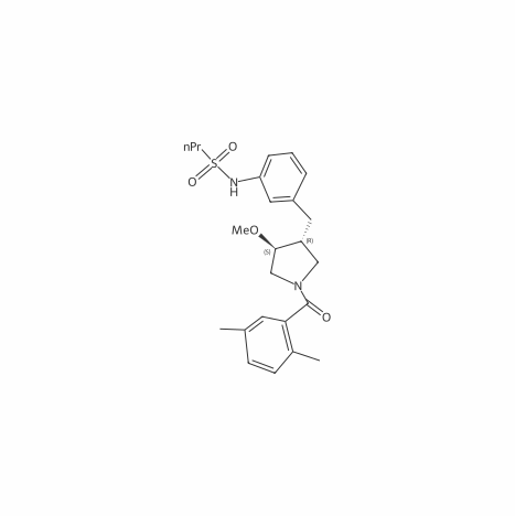 CCCS(=O)(=O)Nc1cccc(C[C@@H]2CN(C(=O)c3cc(C)ccc3C)C[C@H]2OC)c1